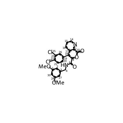 COc1cc(CNC(=O)c2oc(=O)c3ncccc3c2-c2ccc(Cl)c(Cl)c2)cc(OC)c1